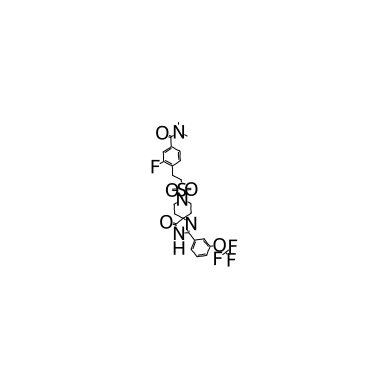 CN(C)C(=O)c1ccc(CCS(=O)(=O)N2CCC3(CC2)N=C(c2cccc(OC(F)(F)F)c2)NC3=O)c(F)c1